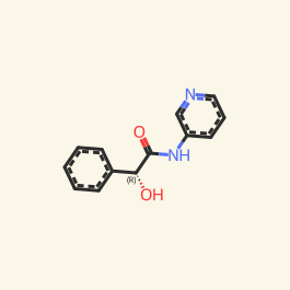 O=C(Nc1cccnc1)[C@H](O)c1ccccc1